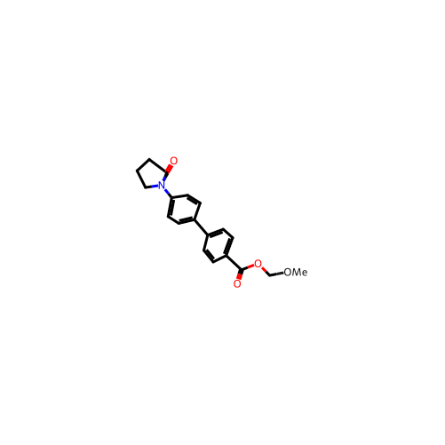 COCOC(=O)c1ccc(-c2ccc(N3CCCC3=O)cc2)cc1